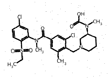 CCS(=O)(=O)c1ccc(Cl)cc1N(C)C(=O)c1cc(C)c(CN2CCC[C@H](N(C)C(=O)O)C2)c(Cl)c1